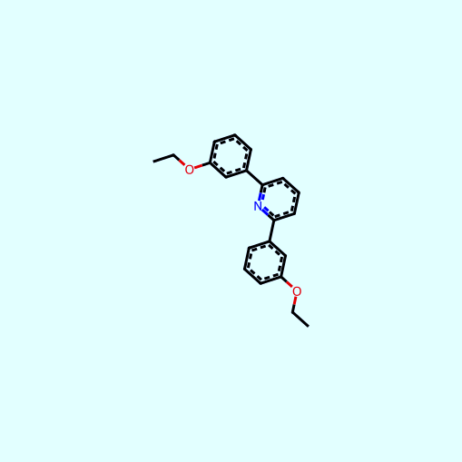 CCOc1cccc(-c2cccc(-c3cccc(OCC)c3)n2)c1